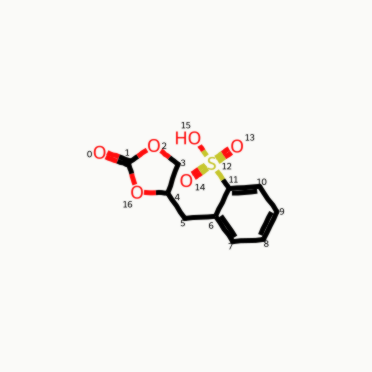 O=C1OCC(Cc2ccccc2S(=O)(=O)O)O1